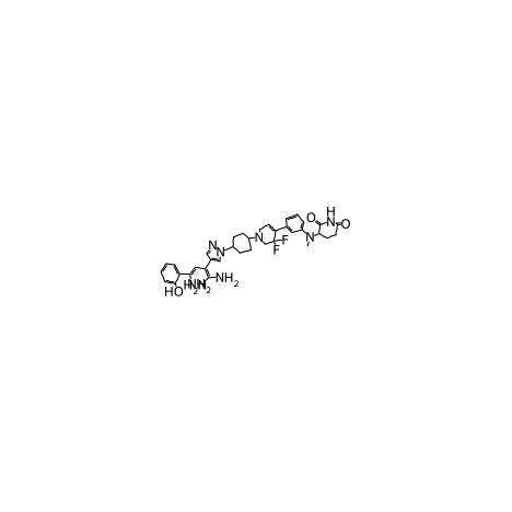 CN(c1cccc(C2=CCN(C3CCC(n4cc(C(/C=C(\N)c5ccccc5O)=C(N)N)cn4)CC3)CC2(F)F)c1)C1CCC(=O)NC1=O